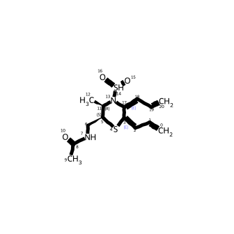 C=C/C=C1/S[C@@H](CNC(C)=O)[C@@H](C)N([SH](=O)=O)/C1=C/C=C